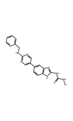 CCNC(=O)Nc1nc2cc(-c3cnc(NCc4ccccn4)nc3)ccc2[nH]1